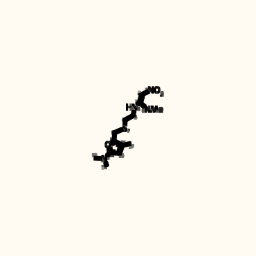 CN/C(=C\[N+](=O)[O-])NCCSCc1oc(N(C)C)cc1C